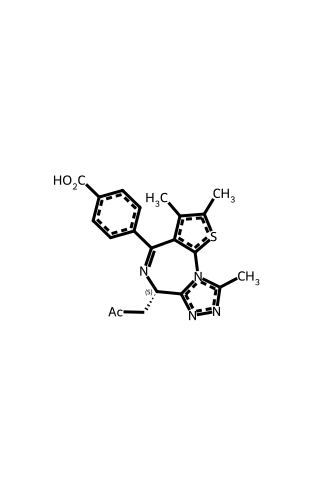 CC(=O)C[C@@H]1N=C(c2ccc(C(=O)O)cc2)c2c(sc(C)c2C)-n2c(C)nnc21